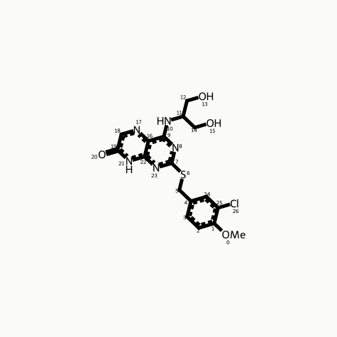 COc1ccc(CSc2nc(NC(CO)CO)c3ncc(=O)[nH]c3n2)cc1Cl